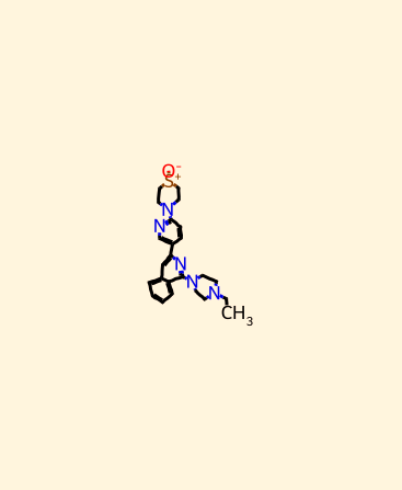 CCN1CCN(c2nc(-c3ccc(N4CC[S+]([O-])CC4)nc3)cc3ccccc23)CC1